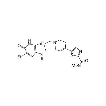 C=Nc1cc(CC)c(=O)[nH]c1/C=C(\C)CN1CC=C(c2cnc(C(=O)NC)s2)CC1